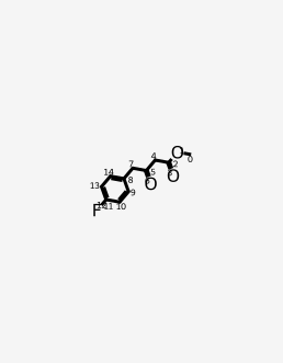 COC(=O)CC(=O)Cc1ccc(F)cc1